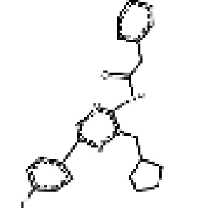 O=C(Cc1ccccc1)Nc1ncc(-c2ccc(F)cc2)nc1CC1CCCC1